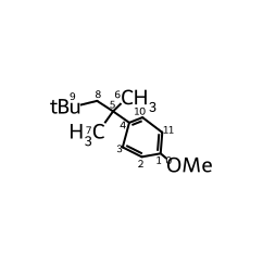 COc1ccc(C(C)(C)CC(C)(C)C)cc1